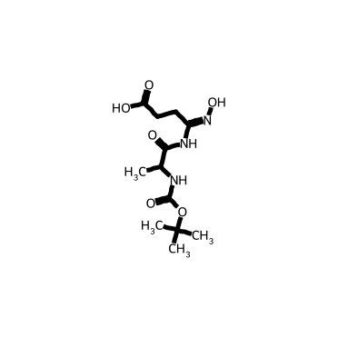 CC(NC(=O)OC(C)(C)C)C(=O)N/C(CCC(=O)O)=N/O